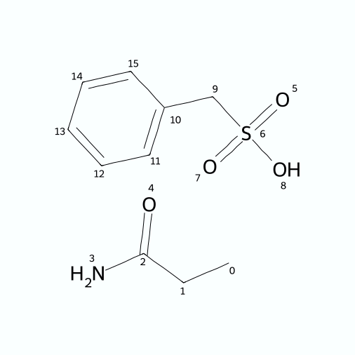 CCC(N)=O.O=S(=O)(O)Cc1ccccc1